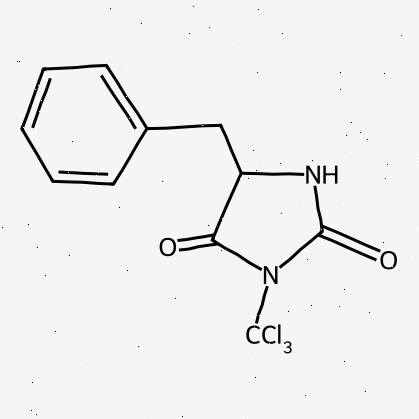 O=C1NC(Cc2ccccc2)C(=O)N1C(Cl)(Cl)Cl